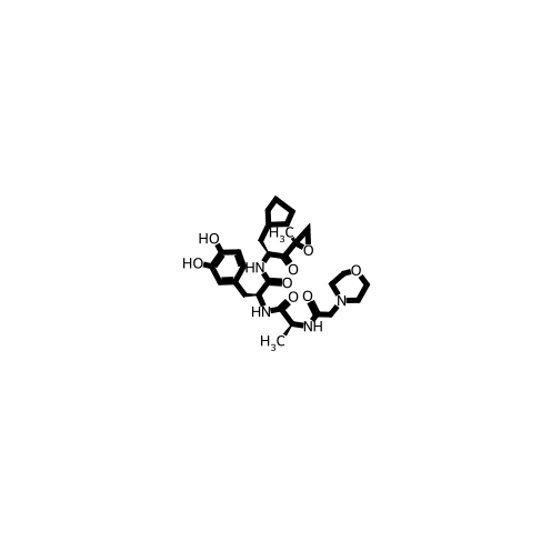 C[C@H](NC(=O)CN1CCOCC1)C(=O)N[C@@H](Cc1ccc(O)c(O)c1)C(=O)N[C@@H](CC1CCCC1)C(=O)[C@]1(C)CO1